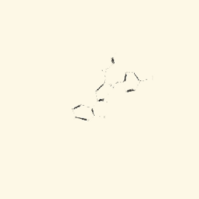 O=CNc1cc(-c2ccc(O)cc2O)nn1-c1ccc(Cl)cc1